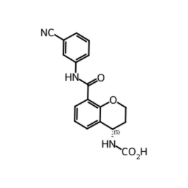 N#Cc1cccc(NC(=O)c2cccc3c2OCC[C@@H]3NC(=O)O)c1